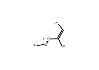 CC(C)C=C([SiH2]OC(C)C)C(C)C